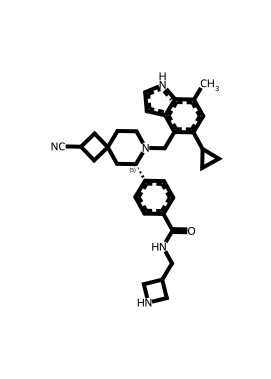 Cc1cc(C2CC2)c(CN2CCC3(CC(C#N)C3)C[C@H]2c2ccc(C(=O)NCC3CNC3)cc2)c2cc[nH]c12